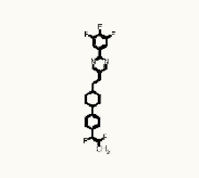 C/C(F)=C(\F)c1ccc(C2CCC(CCc3cnc(-c4cc(F)c(F)c(F)c4)nc3)CC2)cc1